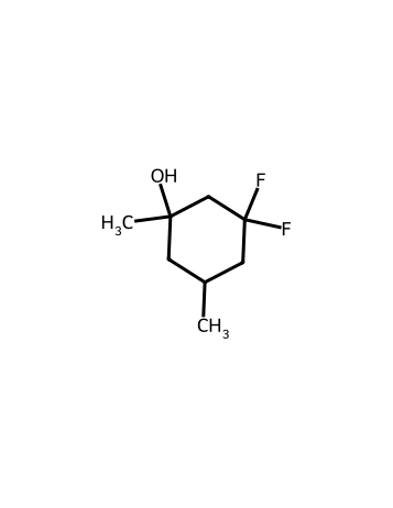 CC1CC(C)(O)CC(F)(F)C1